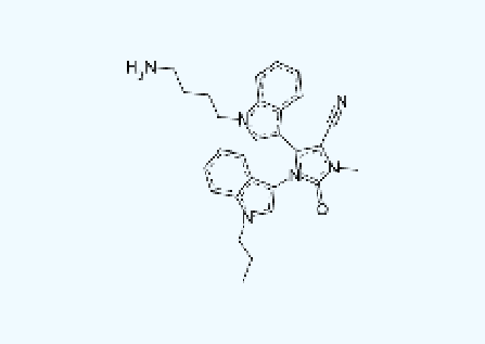 CCCn1cc(-n2c(-c3cn(CCCCN)c4ccccc34)c(C#N)n(C)c2=O)c2ccccc21